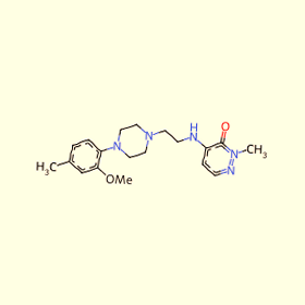 COc1cc(C)ccc1N1CCN(CCNc2ccnn(C)c2=O)CC1